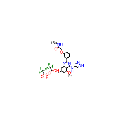 CCOc1cc(C)cc2nc(-c3cccc(OCC(=O)NC(C)(C)C)c3)nc(Nc3cn[nH]c3)c12.O=C(O)C(F)(F)F.O=C(O)C(F)(F)F